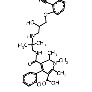 CC1=C(C(=O)O)C(c2ccccc2Cl)=C(C(=O)NCC(C)(C)NCC(O)COc2ccccc2C#N)C(C)N1C